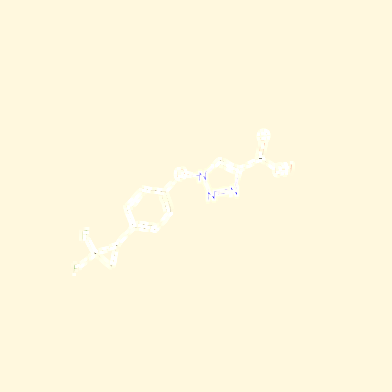 O=C(O)c1cn(Oc2ccc(C3CC3(F)F)cc2)nn1